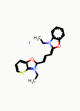 CCN1C(=CC=CC2OC3=CC=CSC3=[N+]2CC)Oc2ccccc21.[I-]